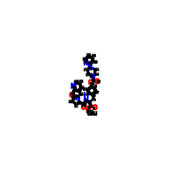 CC(C)(C)OC(=O)[C@H](Cc1ccc(OC(=O)N2CCN(c3ccccn3)CC2)cc1)NC(=O)[C@@H]1CCC(=O)N1Cc1cccnc1